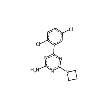 Nc1nc(-c2cc(Cl)ccc2Cl)nc(N2CCC2)n1